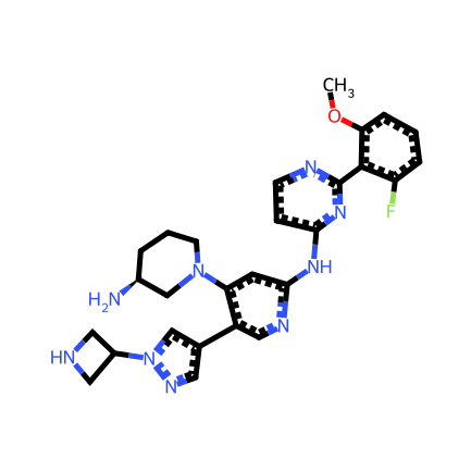 COc1cccc(F)c1-c1nccc(Nc2cc(N3CCC[C@H](N)C3)c(-c3cnn(C4CNC4)c3)cn2)n1